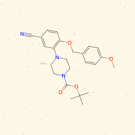 COc1ccc(COc2ccc(C#N)cc2N2CCN(C(=O)OC(C)(C)C)C[C@@H]2C)cc1